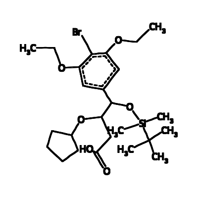 CCOc1cc(C(O[Si](C)(C)C(C)(C)C)C(CC(=O)O)OC2CCCC2)cc(OCC)c1Br